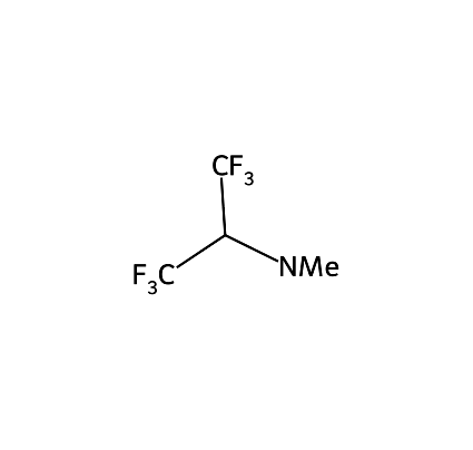 CNC(C(F)(F)F)C(F)(F)F